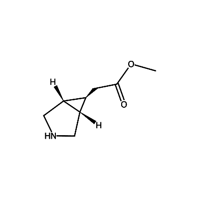 COC(=O)C[C@H]1[C@@H]2CNC[C@@H]21